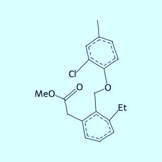 CCc1cccc(CC(=O)OC)c1COc1ccc(C)cc1Cl